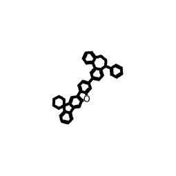 c1ccc(C2CCc3ccccc3-c3cc(-c4ccc5c(c4)oc4cc6c(cc45)C4(CCCCC4)c4ccccc4-6)ccc32)cc1